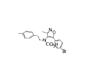 Cc1ccc(CCN(C(=O)O)c2c(C)noc2-c2ccc(Br)cc2)cc1